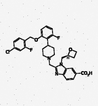 O=C(O)c1ccc2nc(CN3CCC(c4c(F)cccc4OCc4ccc(Cl)cc4F)CC3)n(C[C@@H]3CCO3)c2c1